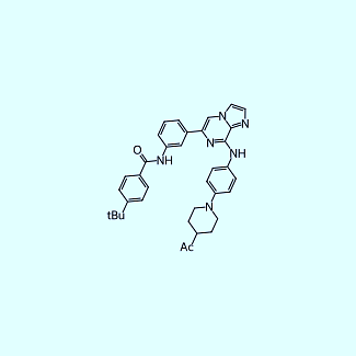 CC(=O)C1CCN(c2ccc(Nc3nc(-c4cccc(NC(=O)c5ccc(C(C)(C)C)cc5)c4)cn4ccnc34)cc2)CC1